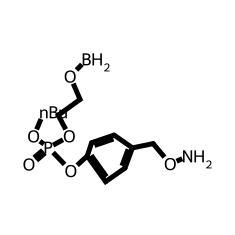 BOCCOP(=O)(OCCCC)Oc1ccc(CON)cc1